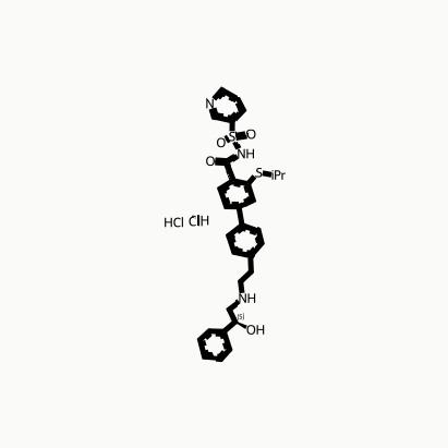 CC(C)Sc1cc(-c2ccc(CCNC[C@@H](O)c3ccccc3)cc2)ccc1C(=O)NS(=O)(=O)c1cccnc1.Cl.Cl